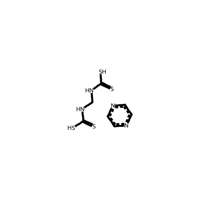 S=C(S)NCNC(=S)S.c1cnccn1